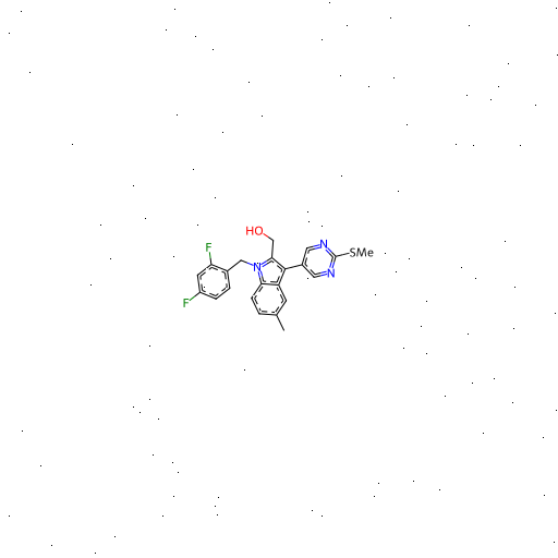 CSc1ncc(-c2c(CO)n(Cc3ccc(F)cc3F)c3ccc(C)cc23)cn1